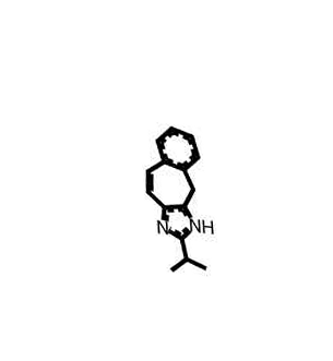 CC(C)c1nc2c([nH]1)Cc1ccccc1C=C2